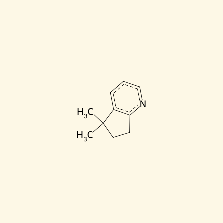 CC1(C)CCc2ncccc21